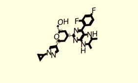 CC1Nc2nc([C@H]3C[C@@H](CO)O[C@@H](c4cnn(C5CC5)c4)C3)nc(-c3ccc(F)cc3F)c2NC1C